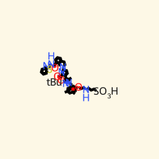 Cc1c(-c2ccc(N3CCc4cccc(C(=O)Nc5nc6ccccc6s5)c4C3)nc2C(=O)OC(C)(C)C)cnn1CC12CC3(C)CC(C)(C1)CC(OCCNCCCS(=O)(=O)O)(C3)C2